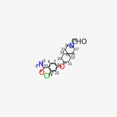 CN(C)C(=O)c1ccc(OC2CCC3(CC2)CCN(C=O)CC3)cc1Cl